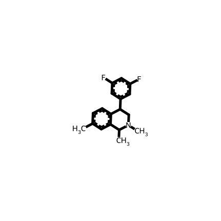 Cc1ccc2c(c1)C(C)N(C)CC2c1cc(F)cc(F)c1